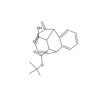 C=C1/C=C\C=C/C2c3ccccc3C1C(C(=O)O)C2C(=O)OC(C)(C)C